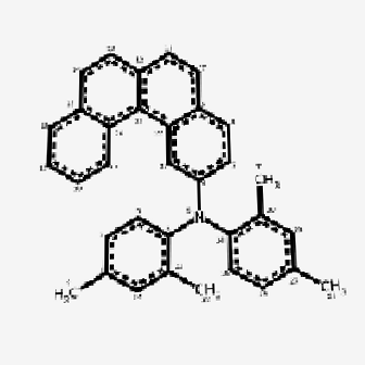 Cc1ccc(N(c2ccc3ccc4ccc5ccccc5c4c3c2)c2ccc(C)cc2C)c(C)c1